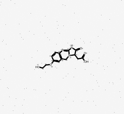 O=C(O)CC1C(=O)NC2=Nc3ccc(OCCO)cc3CN21